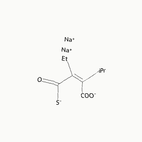 CC/C(C(=O)[S-])=C(/C(=O)[O-])C(C)C.[Na+].[Na+]